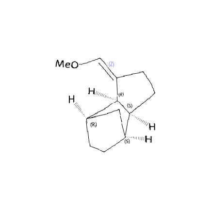 CO/C=C1/CC[C@H]2[C@H]3CC[C@H](C3)[C@@H]12